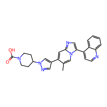 Cc1cn2c(-c3ccnc4ccccc34)cnc2cc1-c1cnn(C2CCN(C(=O)O)CC2)c1